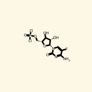 Nc1nc(=O)n([C@@H]2O[C@H](COP(=O)(Cl)Cl)C(O)[C@@H]2O)cc1F